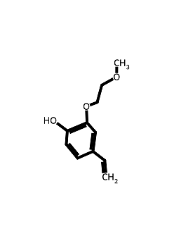 C=Cc1ccc(O)c(OCCOC)c1